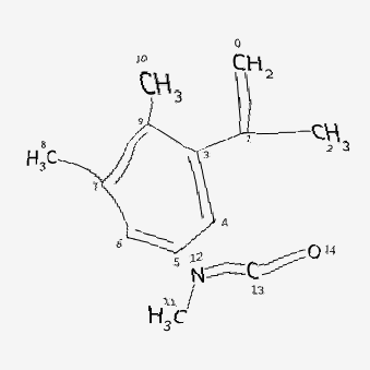 C=C(C)c1cccc(C)c1C.CN=C=O